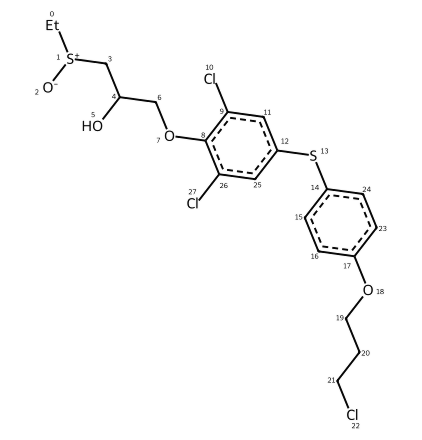 CC[S+]([O-])CC(O)COc1c(Cl)cc(Sc2ccc(OCCCCl)cc2)cc1Cl